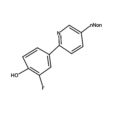 CCCCCCCCCc1ccc(-c2ccc(O)c(F)c2)nc1